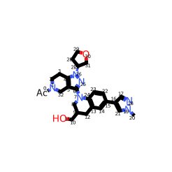 CC(=O)N1CCc2c(c(N3CC(CO)Cc4cc(-c5cnn(C)c5)ccc43)nn2[C@H]2CCOC2)C1